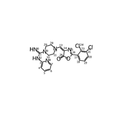 N=C(Nc1ccccn1)N1CCN(C=C2N=C(c3cccc(Cl)c3Cl)OC2=O)CC1